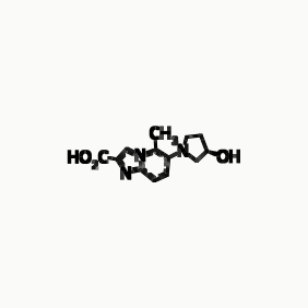 Cc1c(N2CC[C@@H](O)C2)ccc2nc(C(=O)O)cn12